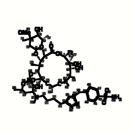 CC[C@H]1OC(=O)[C@H](C)[C@@H](O[C@H]2C[C@@](C)(OC)[C@@H](O)[C@H](C)O2)[C@H](C)[C@@H](O[C@@H]2O[C@H](C)C[C@H](N(C)CCCCc3cn(Cc4ccc(S(N)(=O)=O)cc4)nn3)[C@H]2O)[C@](C)(O)C[C@@H](C)CN(C)[C@H](C)[C@@H](O)[C@]1(C)O